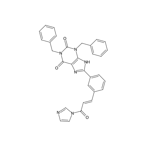 O=C(C=Cc1cccc(-c2nc3c(=O)n(Cc4ccccc4)c(=O)n(Cc4ccccc4)c3[nH]2)c1)n1ccnc1